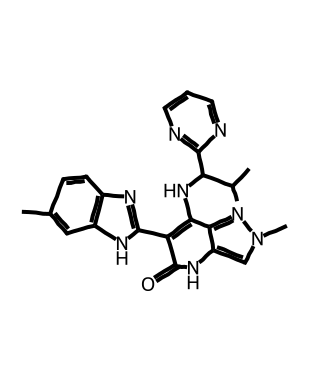 Cc1ccc2nc(-c3c(NC(c4ncccn4)C(C)C)c4nn(C)cc4[nH]c3=O)[nH]c2c1